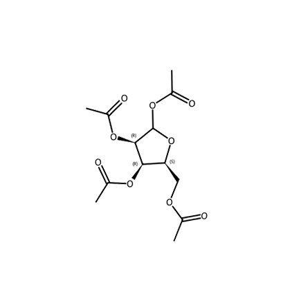 CC(=O)OC[C@@H]1OC(OC(C)=O)[C@H](OC(C)=O)[C@@H]1OC(C)=O